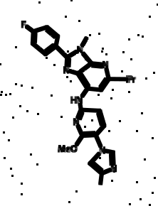 COc1nc(Nc2cc(C(C)C)nc3c2nc(-c2ccc(F)cc2)n3C)ccc1-n1cnc(C)c1